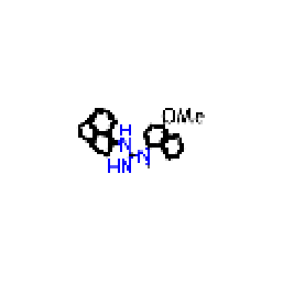 COc1ccc(N(C)C(=N)Nc2ccc3c4c(cccc24)C=C3)c2ccccc12